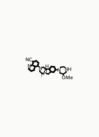 COC1CNCCN(c2ccc3c(c2)CN2[C@H](C)CN(c4ccc(C#N)c5ncccc45)C[C@H]32)C1